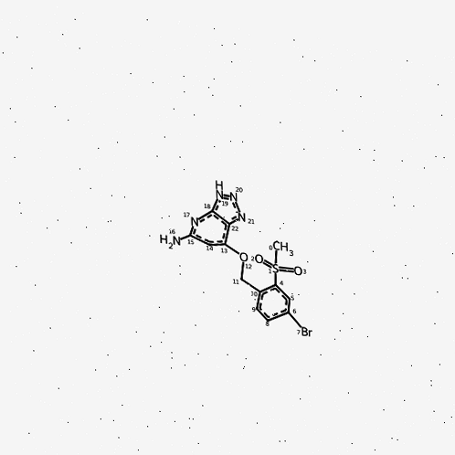 CS(=O)(=O)c1cc(Br)ccc1COc1cc(N)nc2[nH]nnc12